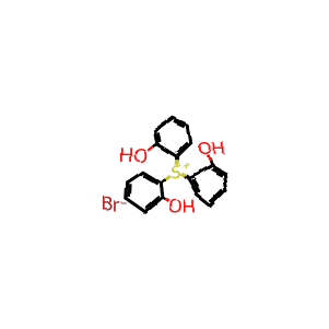 Oc1ccccc1[S+](c1ccccc1O)c1ccccc1O.[Br-]